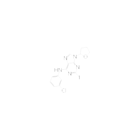 Clc1cccc(Nc2nc(I)nc3c2ncn3C2CCCO2)c1